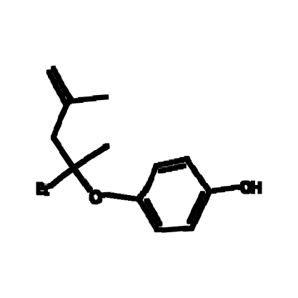 C=C(C)CC(C)(CC)Oc1ccc(O)cc1